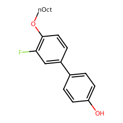 CCCCCCCCOc1ccc(-c2ccc(O)cc2)cc1F